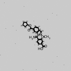 COc1cc(C(=O)O)ccc1C(N)n1ncc2ccc(C(=O)OC3CCCC3)cc21